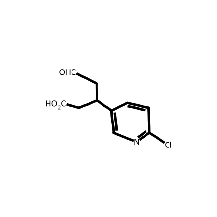 O=CCC(CC(=O)O)c1ccc(Cl)nc1